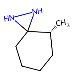 C[C@@H]1CCCCC12NN2